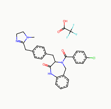 CN1CCN=C1Cc1ccc(CC2C(=O)Nc3ccccc3CN2C(=O)c2ccc(Cl)cc2)cc1.O=C(O)C(F)(F)F